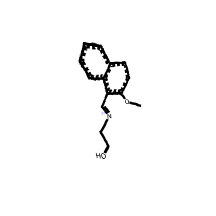 COc1ccc2ccccc2c1/C=N/CCO